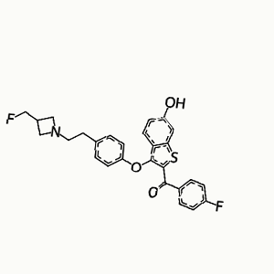 O=C(c1ccc(F)cc1)c1sc2cc(O)ccc2c1Oc1ccc(CCN2CC(CF)C2)cc1